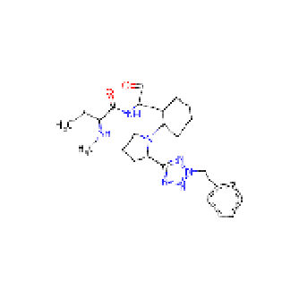 CCC(NC)C(=O)NC(C=O)C1CCCCC1N1CCCC1c1nnn(Cc2ccccc2)n1